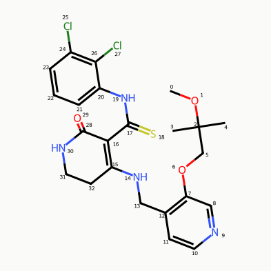 COC(C)(C)COc1cnccc1CNC1=C(C(=S)Nc2cccc(Cl)c2Cl)C(=O)NCC1